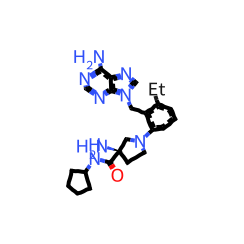 CCc1cccc(N2CC[C@](N)(C(=O)NC3CCCC3)C2)c1Cn1cnc2c(N)ncnc21